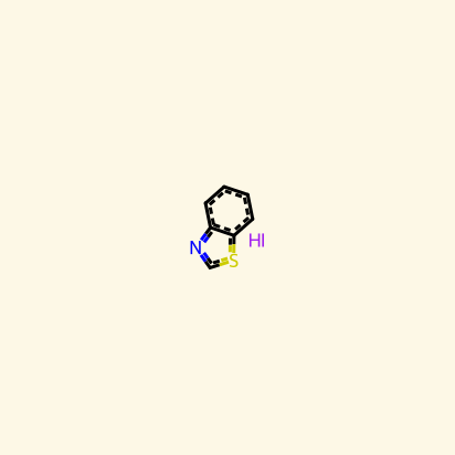 I.c1ccc2scnc2c1